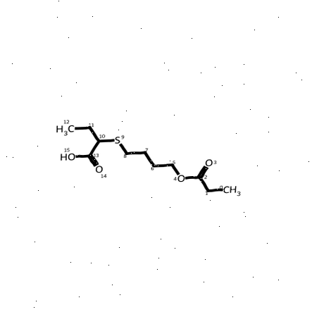 CCC(=O)OCCCCSC(CC)C(=O)O